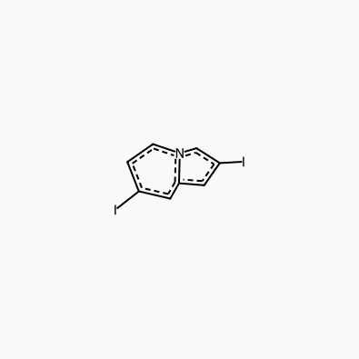 Ic1ccn2cc(I)cc2c1